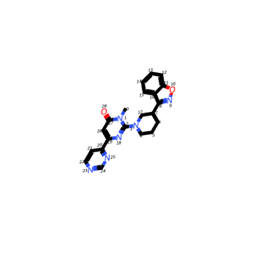 Cn1c(N2CCCC(c3noc4ccccc34)C2)nc(-c2ccncn2)cc1=O